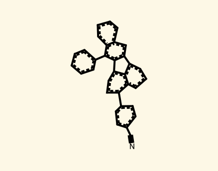 N#Cc1ccc(-c2ccc3c4c(cccc24)-c2cc4ccccc4c(-c4ccccc4)c2-3)cc1